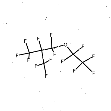 FC(F)(F)C(F)(F)OC(F)(F)C(F)(C(F)(F)F)C(F)(F)F